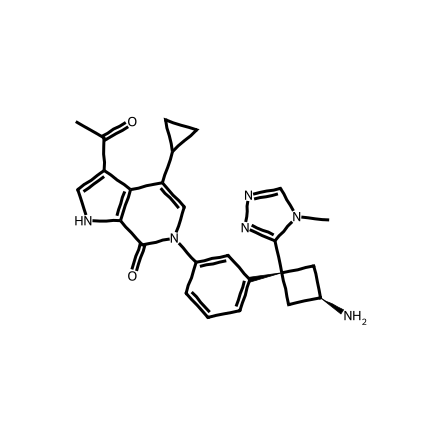 CC(=O)c1c[nH]c2c(=O)n(-c3cccc([C@]4(c5nncn5C)C[C@H](N)C4)c3)cc(C3CC3)c12